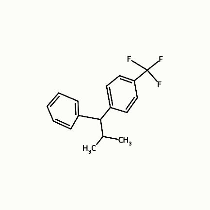 CC(C)C(c1ccccc1)c1ccc(C(F)(F)F)cc1